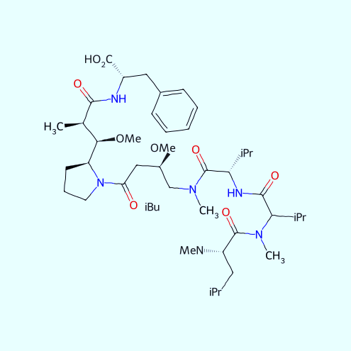 CC[C@H](C)C([C@@H](CC(=O)N1CCC[C@H]1[C@H](OC)[C@@H](C)C(=O)N[C@@H](Cc1ccccc1)C(=O)O)OC)N(C)C(=O)[C@@H](NC(=O)C(C(C)C)N(C)C(=O)[C@H](CC(C)C)NC)C(C)C